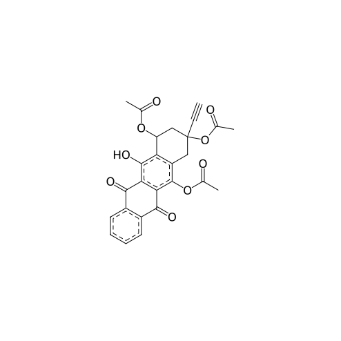 C#CC1(OC(C)=O)Cc2c(OC(C)=O)c3c(c(O)c2C(OC(C)=O)C1)C(=O)c1ccccc1C3=O